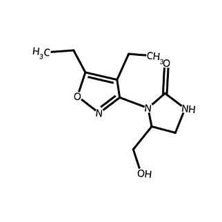 CCc1onc(N2C(=O)NCC2CO)c1CC